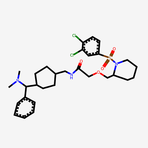 CN(C)C(c1ccccc1)C1CCC(CNC(=O)COCC2CCCCN2S(=O)(=O)c2ccc(Cl)c(Cl)c2)CC1